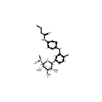 CCCC(=O)Nc1ccc(Cc2cc([C@@H]3O[C@H]([S+](C)[O-])[C@@H](O)[C@H](O)[C@H]3O)ccc2C)cc1